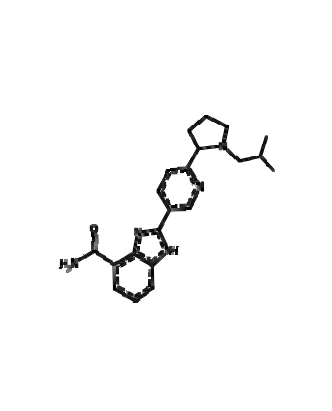 CC(C)CN1CCCC1c1ccc(-c2nc3c(C(N)=O)cccc3[nH]2)cn1